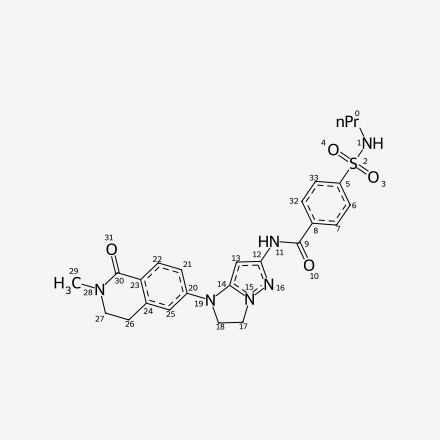 CCCNS(=O)(=O)c1ccc(C(=O)Nc2cc3n(n2)CCN3c2ccc3c(c2)CCN(C)C3=O)cc1